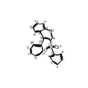 O=S(=O)(c1ccccc1)c1cnc2ccccc2c1-c1cc[c]cc1